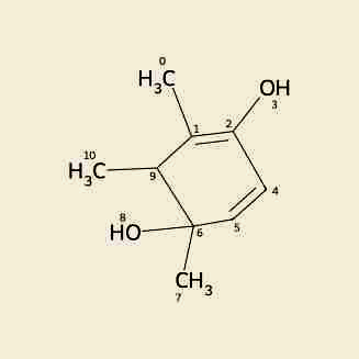 CC1=C(O)C=CC(C)(O)C1C